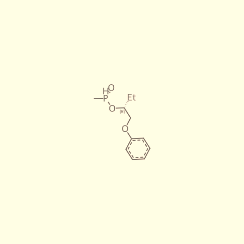 CC[C@H](COc1ccccc1)O[PH](C)=O